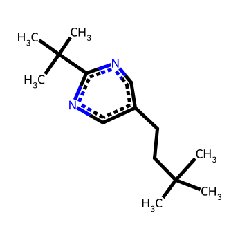 CC(C)(C)CCc1cnc(C(C)(C)C)nc1